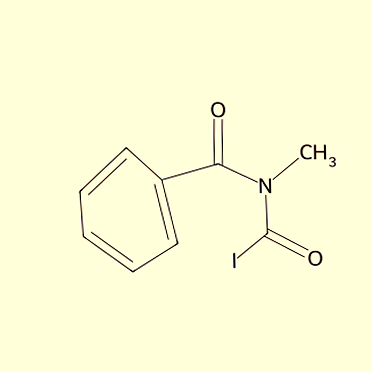 CN(C(=O)I)C(=O)c1ccccc1